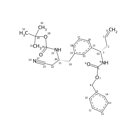 C=CC[C@H](NC(=O)OCc1ccccc1)c1cccc(C[C@H](CC#N)NC(=O)OC(C)(C)C)c1